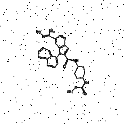 CC(C)(C)OC(=O)NC1CCC(NC(=O)c2cc3ccc(C(N)=NO)cc3n2-c2cccc3ccccc23)CC1